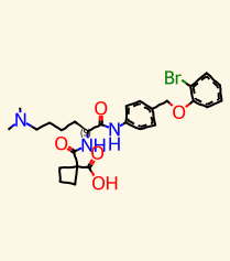 CN(C)CCCC[C@H](NC(=O)C1(C(=O)O)CCC1)C(=O)Nc1ccc(COc2ccccc2Br)cc1